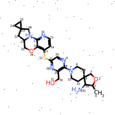 CC1OCC2(CCN(c3ncc(Sc4ccnc5c4OCC4CC6(CC6)CN54)nc3CO)CC2)C1N